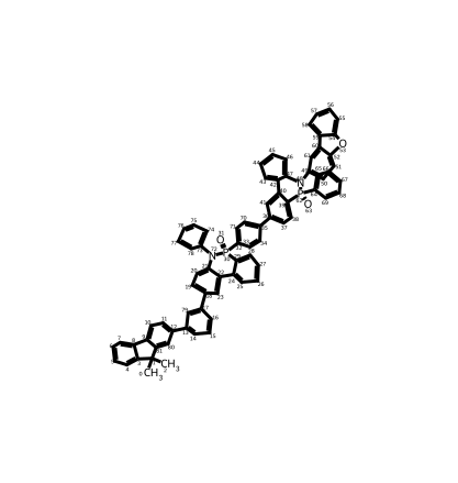 CC1(C)c2ccccc2-c2ccc(-c3cccc(-c4ccc5c(c4)-c4ccccc4P(=O)(c4ccc(-c6ccc7c(c6)-c6ccccc6N(c6ccc8oc9ccccc9c8c6)P7(=O)c6ccccc6)cc4)N5c4ccccc4)c3)cc21